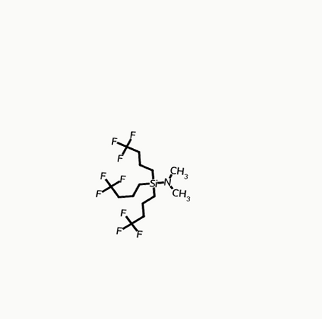 CN(C)[Si](CCCC(F)(F)F)(CCCC(F)(F)F)CCCC(F)(F)F